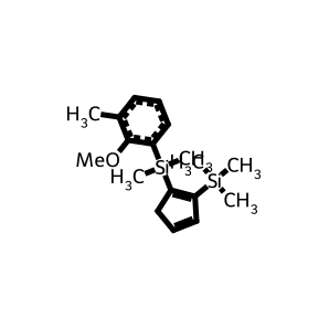 COc1c(C)cccc1[Si](C)(C)C1=C([Si](C)(C)C)C=CC1